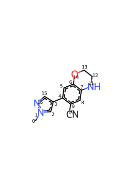 Cn1cc(-c2cc3c(cc2C#N)NCCO3)cn1